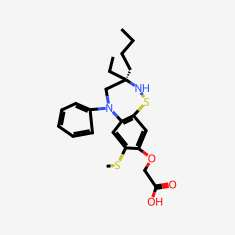 CCCC[C@@]1(CC)CN(c2ccccc2)c2cc(SC)c(OCC(=O)O)cc2SN1